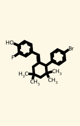 CC1(C)CC(=Cc2ccc(O)c(F)c2)C(c2ccc(Br)cc2)C(C)(C)C1